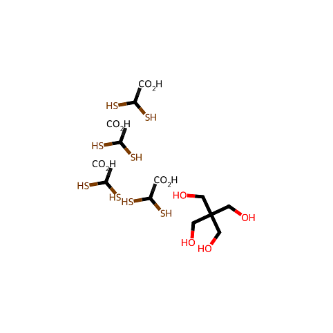 O=C(O)C(S)S.O=C(O)C(S)S.O=C(O)C(S)S.O=C(O)C(S)S.OCC(CO)(CO)CO